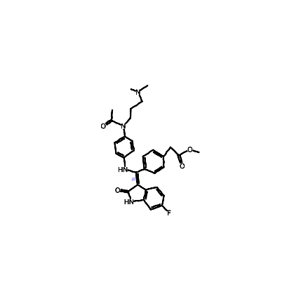 COC(=O)Cc1ccc(/C(Nc2ccc(N(CCCN(C)C)C(C)=O)cc2)=C2/C(=O)Nc3cc(F)ccc32)cc1